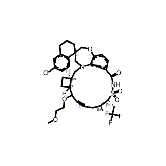 COCCOC1/C=C\C[C@H](C)[C@@H](CC(F)(F)F)S(=O)(=O)NC(=O)c2ccc3c(c2)N(C[C@@H]2CC[C@@H]12)C[C@@]1(CCCc2cc(Cl)ccc21)CO3